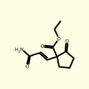 CCOC(=O)C1(C=CC(N)=O)CCCC1=O